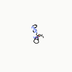 C=CNc1c2cc(C(=C)CCN3CCN(c4ccccn4)C3)cc1CCCCC2